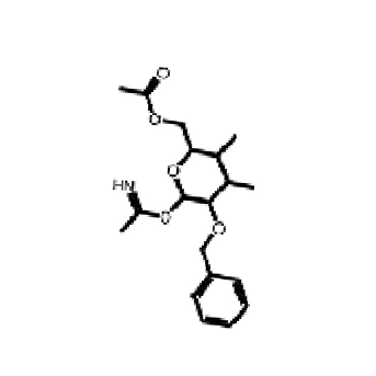 CC(=N)OC1OC(COC(C)=O)C(C)C(C)C1OCc1ccccc1